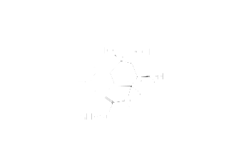 CCCCCCCC(=O)OC1(C)O[C@H](CO)[C@@H](O)[C@H](O)[C@H]1O